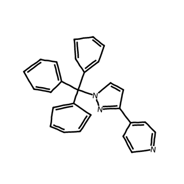 c1ccc(C(c2ccccc2)(c2ccccc2)n2ccc(-c3ccncc3)n2)cc1